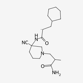 CC(CN1CCCC(C#N)(NC(=O)[CH]CC2CCCCC2)C1)C(N)=O